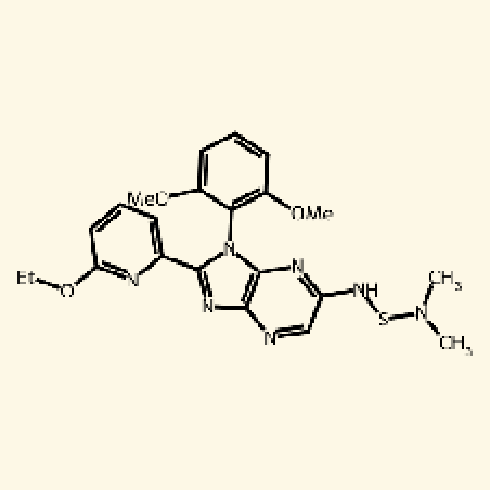 CCOc1cccc(-c2nc3ncc(NSN(C)C)nc3n2-c2c(OC)cccc2OC)n1